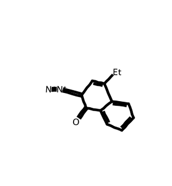 CCC1=CC(=[N+]=[N-])C(=O)c2ccccc21